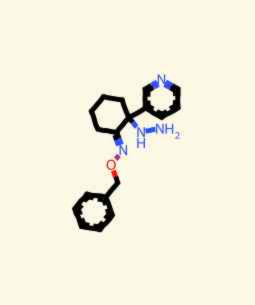 NNC1(c2cccnc2)CCCCC1=NOCc1ccccc1